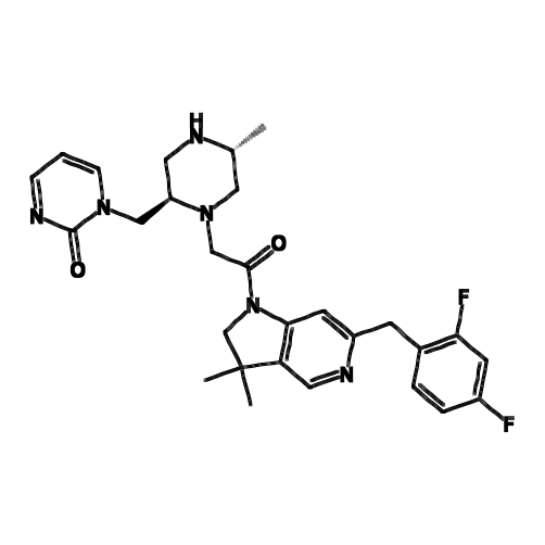 C[C@@H]1CN(CC(=O)N2CC(C)(C)c3cnc(Cc4ccc(F)cc4F)cc32)[C@@H](Cn2cccnc2=O)CN1